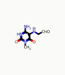 Cn1c(=O)[nH]c(N)c(NCC=O)c1=O